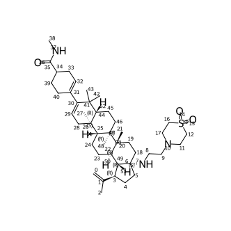 C=C(C)[C@@H]1CC[C@]2(NCCN3CCS(=O)(=O)CC3)CC[C@]3(C)[C@H](CC[C@@H]4[C@@]5(C)CC=C(C6=CCC(C(=O)NC)CC6)C(C)(C)[C@@H]5CC[C@]43C)[C@@H]12